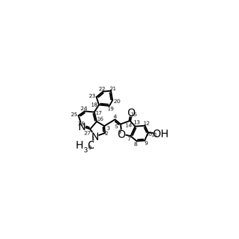 Cn1cc(C=C2Oc3ccc(O)cc3C2=O)c2c(-c3ccccc3)ccnc21